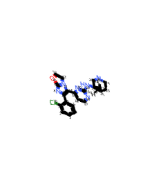 Clc1ccccc1-c1nc2occn2c1-c1ccnc(N[C@@H]2CN3CCC2CC3)n1